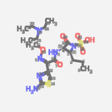 CCC[C@H]1[C@H](NC(=O)C(=NOC)c2csc(N)n2)C(=O)N1S(=O)(=O)O.CCN(CC)CC